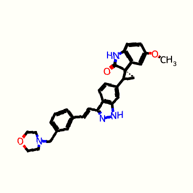 COc1ccc2c(c1)[C@]1(CC1c1ccc3c(/C=C/c4cccc(CN5CCOCC5)c4)n[nH]c3c1)C(=O)N2